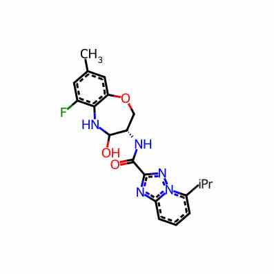 Cc1cc(F)c2c(c1)OC[C@H](NC(=O)c1nc3cccc(C(C)C)n3n1)C(O)N2